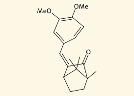 COc1ccc(C=C2C(=O)C3(C)CCC2C3(C)C)cc1OC